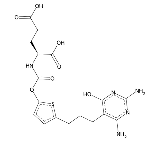 Nc1nc(N)c(CCCc2ccc(OC(=O)N[C@@H](CCC(=O)O)C(=O)O)s2)c(O)n1